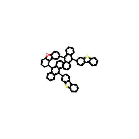 C1=Cc2oc3ccc(-c4c5ccccc5c(-c5ccc6c(c5)sc5ccccc56)c5ccccc45)cc3c2C(c2c3ccccc3c(-c3ccc4c(c3)sc3ccccc34)c3ccccc23)C1